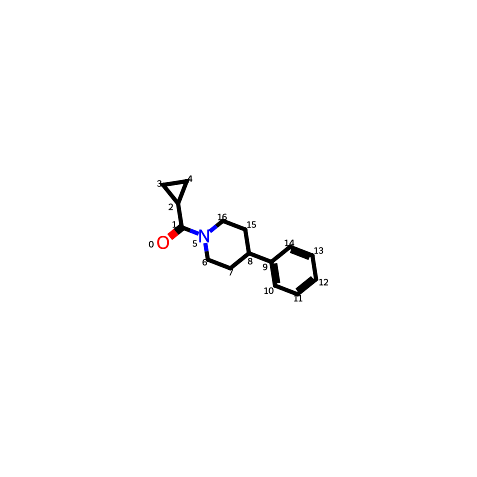 O=C(C1CC1)N1CCC(c2ccccc2)CC1